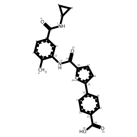 Cc1ccc(C(=O)NC2CC2)cc1NC(=O)c1ccc(-c2ccc(C(=O)O)cc2)s1